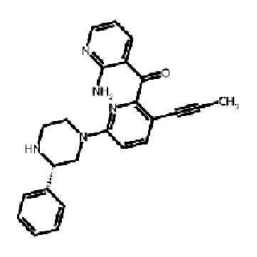 CC#Cc1ccc(N2CCN[C@@H](c3ccccc3)C2)nc1C(=O)c1cccnc1N